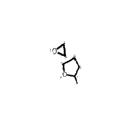 C1CO1.CC1CCCO1